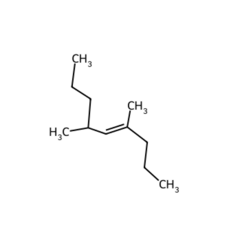 CCCC(C)=CC(C)CCC